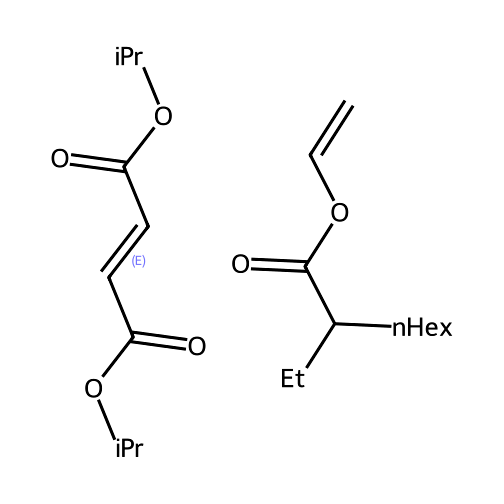 C=COC(=O)C(CC)CCCCCC.CC(C)OC(=O)/C=C/C(=O)OC(C)C